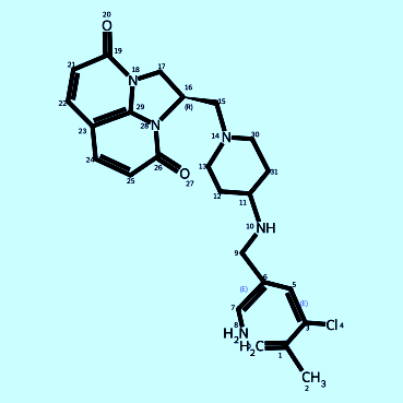 C=C(C)/C(Cl)=C\C(=C/N)CNC1CCN(C[C@@H]2Cn3c(=O)ccc4ccc(=O)n2c43)CC1